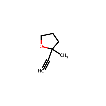 C#CC1(C)CCCO1